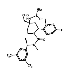 Cc1cc(F)ccc1[C@H]1C[C@@](CC=O)(N[S+]([O-])C(C)(C)C)CCN1C(=O)N(C)[C@H](C)c1cc(C(F)(F)F)cc(C(F)(F)F)c1